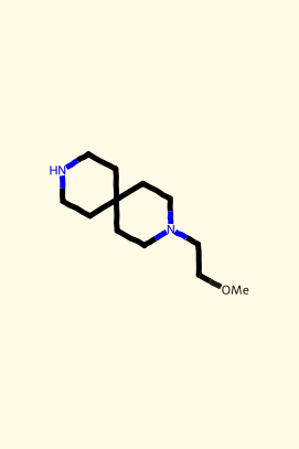 COCCN1CCC2(CCNCC2)CC1